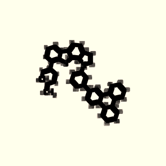 C=C/C=C\C(=C/C)c1cccc2c1sc1c2ccc2ccn(-c3cccc(-c4ccc5c6ccccc6c6ccccc6c5c4)c3)c21